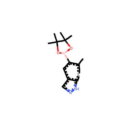 Cc1cc2[nH]ncc2cc1B1OC(C)(C)C(C)(C)O1